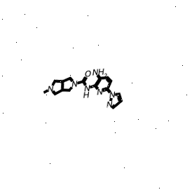 CN1CC2CN(C(=O)Nc3nc(-n4cccn4)ccc3N)CC2C1